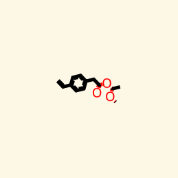 C=Cc1ccc(CC(=O)OC(C)OC)cc1